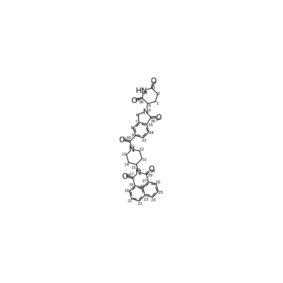 O=C1CCC(N2Cc3cc(C(=O)N4CCC(N5C(=O)c6cccc7cccc(c67)C5=O)CC4)ccc3C2=O)C(=O)N1